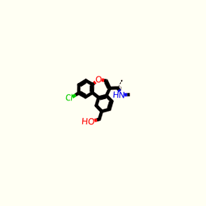 CN[C@@H](C)C1=COc2ccc(Cl)cc2C2=C1C=CC(CO)C2